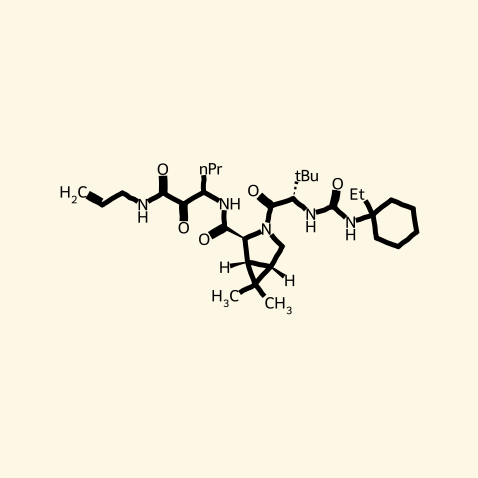 C=CCNC(=O)C(=O)C(CCC)NC(=O)[C@@H]1[C@@H]2[C@H](CN1C(=O)[C@@H](NC(=O)NC1(CC)CCCCC1)C(C)(C)C)C2(C)C